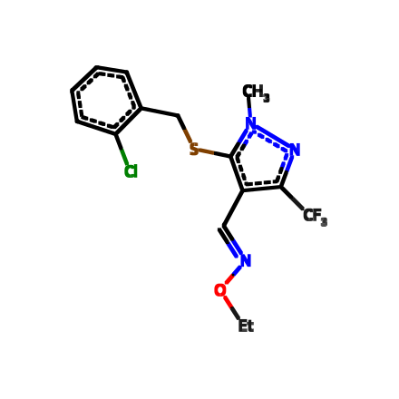 CCO/N=C/c1c(C(F)(F)F)nn(C)c1SCc1ccccc1Cl